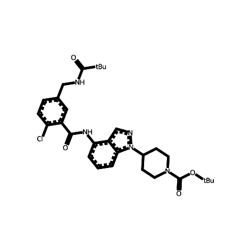 CC(C)(C)OC(=O)N1CCC(n2ncc3c(NC(=O)c4cc(CNC(=O)C(C)(C)C)ccc4Cl)cccc32)CC1